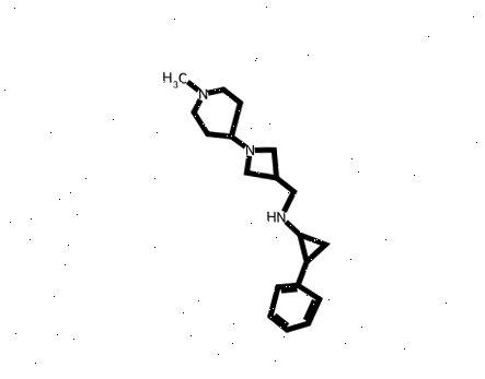 CN1CCC(N2CC(CNC3CC3c3ccccc3)C2)CC1